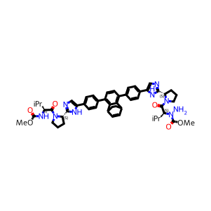 COC(=O)N[C@H](C(=O)N1CCC[C@H]1c1ncc(-c2ccc(-c3ccc(-c4ccc(-c5cnc([C@@H]6CCCN6C(=O)[C@H](C(C)C)N(N)C(=O)OC)[nH]5)cc4)c4c3C3C=CC4CC3)cc2)[nH]1)C(C)C